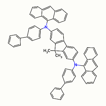 CC1(C)c2cc(N(c3ccc(-c4ccccc4)cc3)c3c4ccccc4cc4ccccc34)ccc2-c2ccc(N(c3ccc(-c4ccccc4)cc3)c3c4ccccc4cc4ccccc34)cc21